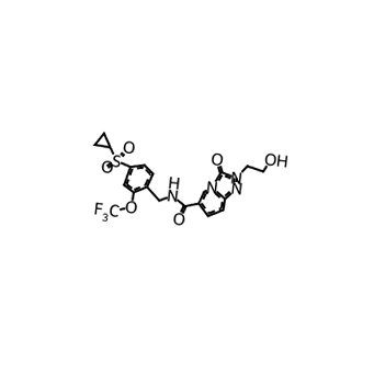 O=C(NCc1ccc(S(=O)(=O)C2CC2)cc1OC(F)(F)F)c1ccc2nn(CCO)c(=O)n2c1